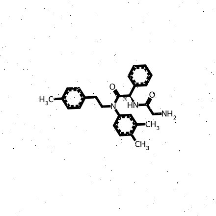 Cc1ccc(CCN(C(=O)[C@H](NC(=O)CN)c2ccccc2)c2ccc(C)c(C)c2)cc1